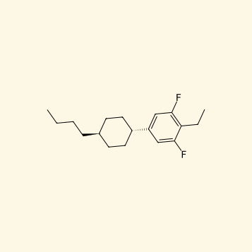 CCCC[C@H]1CC[C@H](c2cc(F)c(CC)c(F)c2)CC1